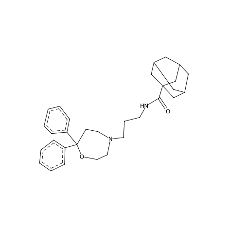 O=C(NCCCN1CCOC(c2ccccc2)(c2ccccc2)CC1)C12CC3CC(CC(C3)C1)C2